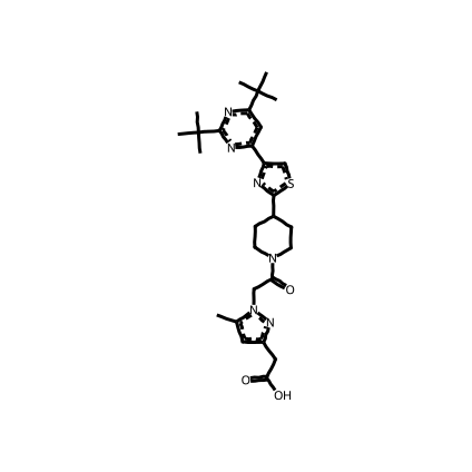 Cc1cc(CC(=O)O)nn1CC(=O)N1CCC(c2nc(-c3cc(C(C)(C)C)nc(C(C)(C)C)n3)cs2)CC1